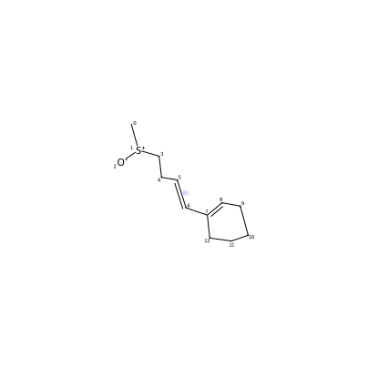 C[S+]([O-])CC/C=C/C1=CCCCC1